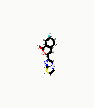 O=c1oc(-c2cn3ccsc3n2)cc2ccc(F)cc12